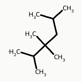 [CH2]C(C)C(C)(C)CC(C)C